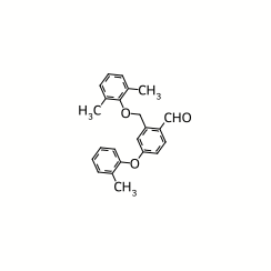 Cc1ccccc1Oc1ccc(C=O)c(COc2c(C)cccc2C)c1